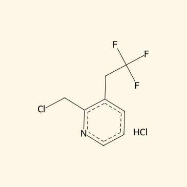 Cl.FC(F)(F)Cc1cccnc1CCl